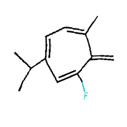 C=C1C(C)=CC=C(C(C)C)C=C1F